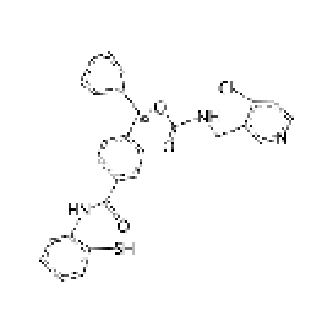 O=C(NCc1cnccc1Cl)O[C@@H](c1ccccc1)c1ccc(C(=O)Nc2ccccc2S)cc1